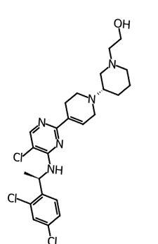 C[C@@H](Nc1nc(C2=CCN([C@H]3CCCN(CCO)C3)CC2)ncc1Cl)c1ccc(Cl)cc1Cl